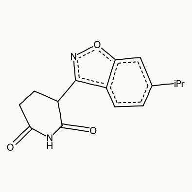 CC(C)c1ccc2c(C3CCC(=O)NC3=O)noc2c1